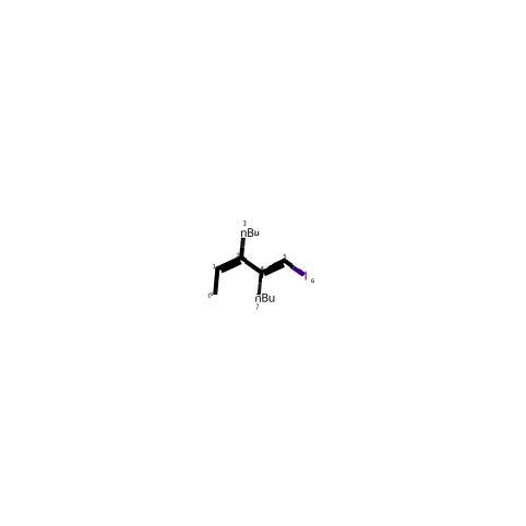 CC=C(CCCC)C(=CI)CCCC